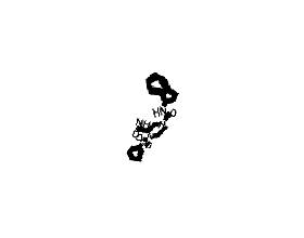 NC(=O)C1CN(C(=O)NC2CCc3ccccc32)CCN1S(=O)(=O)c1ccccc1